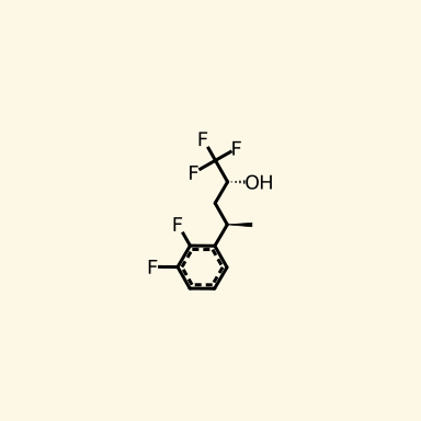 C[C@H](C[C@@H](O)C(F)(F)F)c1cccc(F)c1F